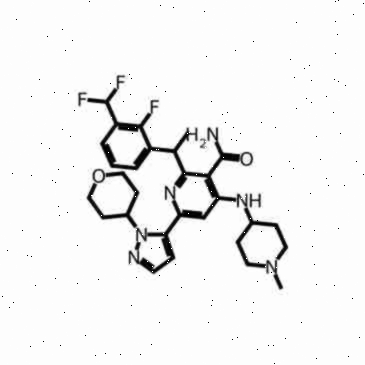 CC(c1cccc(C(F)F)c1F)c1nc(-c2ccnn2C2CCOCC2)cc(NC2CCN(C)CC2)c1C(N)=O